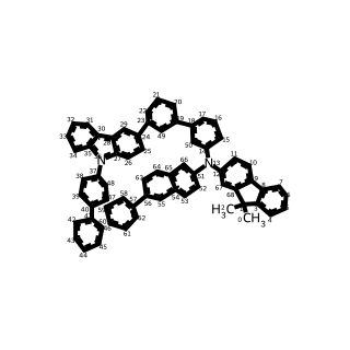 CC1(C)c2ccccc2-c2ccc(N(c3cccc(-c4cccc(-c5ccc6c(c5)c5ccccc5n6-c5ccc(-c6ccccc6)cc5)c4)c3)c3ccc4cc(-c5ccccc5)ccc4c3)cc21